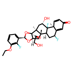 CCOc1cccc([C@@H]2O[C@@H]3C[C@@]4(C)[C@@H]5C[C@H](F)C6=CC(=O)C=C[C@]6(C)[C@@]5(F)[C@@H](O)C[C@]4(C)[C@]3(C(=O)CO)O2)c1F